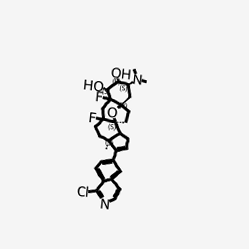 CN(C)[C@H]1C[C@@]23CC[C@]4(O2)C2CC=C(c5ccc6c(Cl)nccc6c5)[C@@]2(C)CCC4(F)CC3(F)[C@@H](O)[C@@H]1O